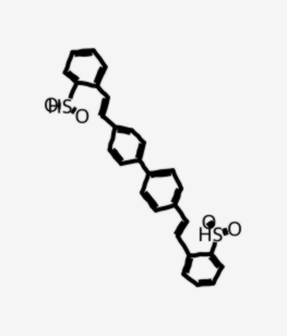 O=[SH](=O)c1ccccc1C=Cc1ccc(-c2ccc(C=Cc3ccccc3[SH](=O)=O)cc2)cc1